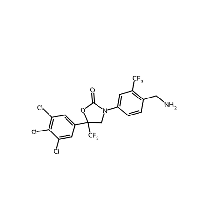 NCc1ccc(N2CC(c3cc(Cl)c(Cl)c(Cl)c3)(C(F)(F)F)OC2=O)cc1C(F)(F)F